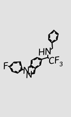 Fc1ccc(-n2ncc3cc(C(NCc4ccccc4)C(F)(F)F)ccc32)cc1